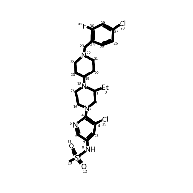 CCC1CN(c2ncc(NS(C)(=O)=O)cc2Cl)CCN1C1CCN(Cc2ccc(Cl)cc2F)CC1